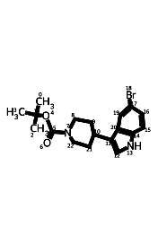 CC(C)(C)OC(=O)N1CCC(c2c[nH]c3ccc(Br)cc23)CC1